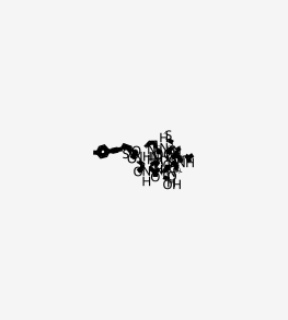 CSCC[C@@H](C(=O)NC(=O)[C@@H]1CCCN1)N(C)C(=O)[C@H](CC(C)C)NC(=O)[C@H](C)NC(=O)[C@H](CC(=O)O)NC(=O)[C@H](CC(N)=O)NC(=O)CCNS(=O)(=O)c1ccc(C#Cc2ccc(C)cc2)s1